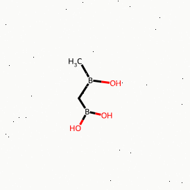 CB(O)CB(O)O